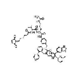 Cc1cccc(-c2nc(CN(Cc3ccccc3-c3ccncc3)C(=O)OCc3ccc(NC(=O)[C@H](CCCNC(N)=O)NC(=O)C(NC(=O)CCCCCN4C(=O)C=CC4=O)C(C)C)cc3)[nH]c2-c2ccc3ncnn3c2)n1